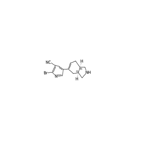 N#Cc1cc(C2=CC[C@H]3CNC[C@H]3C2)cnc1Br